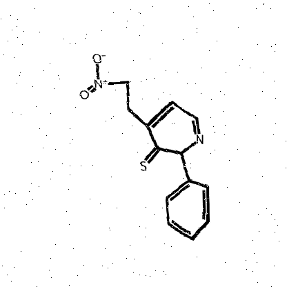 O=[N+]([O-])CCC1=CC=NC(c2ccccc2)C1=S